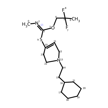 C/N=C(/OCC(C)(F)F)SC1=CCN(CCC2CCCCC2)CC1